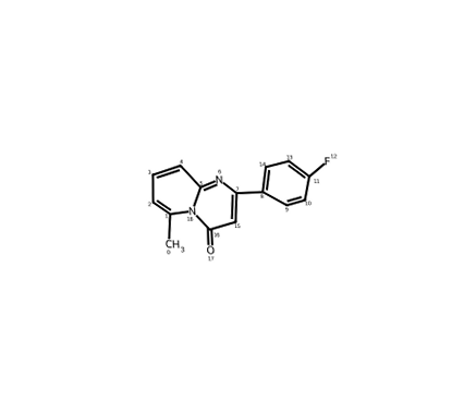 Cc1cccc2nc(-c3ccc(F)cc3)cc(=O)n12